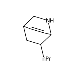 CCCC1CC2C=CC1NC2